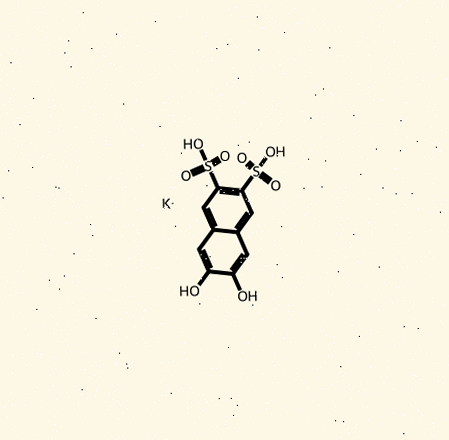 O=S(=O)(O)c1cc2cc(O)c(O)cc2cc1S(=O)(=O)O.[K]